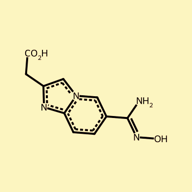 N/C(=N\O)c1ccc2nc(CC(=O)O)cn2c1